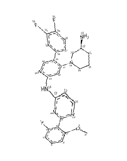 COc1cccc(F)c1-c1nccc(Nc2cc(N3CCC[C@H](N)C3)c(-c3ccc(F)c(F)c3)cn2)n1